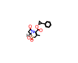 CC1=C(C(=O)OC2CC2c2ccccc2)N2C(=O)C[C@@H]2S(=O)(=O)C1